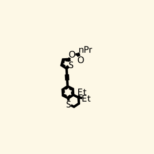 CCCC(=O)Oc1ccc(C#Cc2ccc3c(c2)C(CC)(CC)CCS3)s1